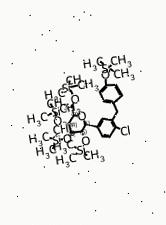 C[Si](C)(C)OC[C@H]1O[C@@H](c2ccc(Cl)c(Cc3ccc(O[Si](C)(C)C)cc3)c2)[C@H](O[Si](C)(C)C)[C@@H](O[Si](C)(C)C)[C@@H]1O[Si](C)(C)C